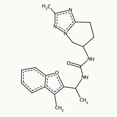 Cc1nc2n(n1)CC(NC(=O)NC(C)c1oc3ccccc3c1C)CC2